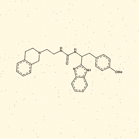 COc1ccc(CC(NC(=O)NCCN2CCc3ccccc3C2)c2nc3ccccc3[nH]2)cc1